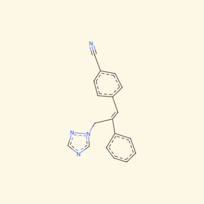 N#Cc1ccc(C=C(Cn2cncn2)c2ccccc2)cc1